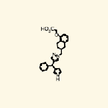 O=C(O)COc1cccc2c1CCC(Cn1cc(C(c3ccccc3)c3cc[nH]c3)cn1)C2